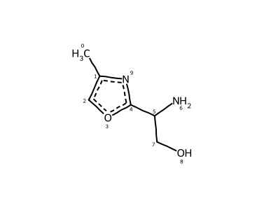 Cc1coc(C(N)CO)n1